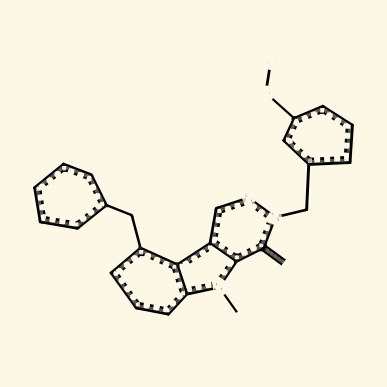 COc1cccc(Cn2ncc3c4c(Cc5ccccc5)cccc4n(C)c3c2=O)c1